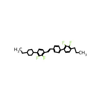 CCCc1ccc(-c2ccc(/C=C/c3ccc(C4CCC(CC)CC4)c(F)c3F)cc2)c(F)c1F